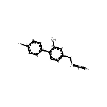 [N-]=[N+]=NCc1ccc(-c2ccc(F)cc2)c(O)c1